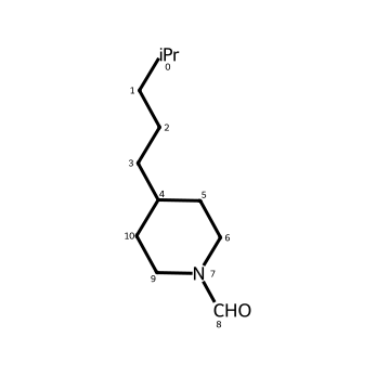 CC(C)CCCC1CCN(C=O)CC1